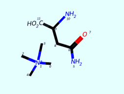 C[N+](C)(C)C.NC(=O)CC(N)C(=O)O